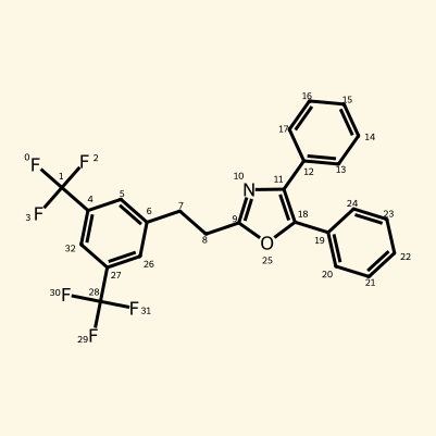 FC(F)(F)c1cc(CCc2nc(-c3ccccc3)c(-c3ccccc3)o2)cc(C(F)(F)F)c1